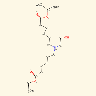 CCCCCCCCCCCOC(=O)CCCCCN(CCO)CCCCCC(=O)OC(CCCCCCCCC)CCCCCCCCCC